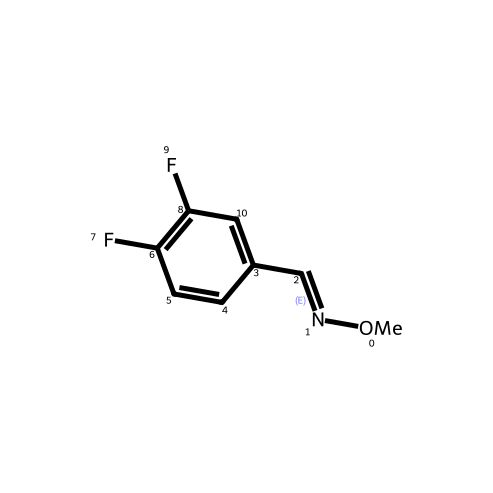 CO/N=C/c1ccc(F)c(F)c1